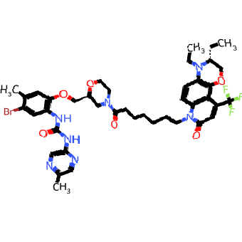 CC[C@@H]1COc2c(ccc3c2c(C(F)(F)F)cc(=O)n3CCCCCCC(=O)N2CCO[C@H](COc3cc(C)c(Br)cc3NC(=O)Nc3cnc(C)cn3)C2)N1CC